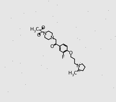 C[C@@H]1CCCN1CCCOc1ccc(C(=O)CN2CCN(S(C)(=O)=O)CC2)cc1F